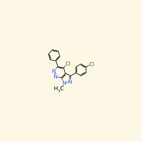 Cn1nc(-c2ccc(Cl)cc2)c2c(Cl)c(-c3ccccc3)nnc21